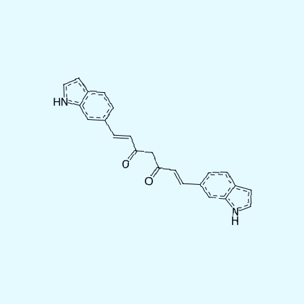 O=C(C=Cc1ccc2cc[nH]c2c1)CC(=O)C=Cc1ccc2cc[nH]c2c1